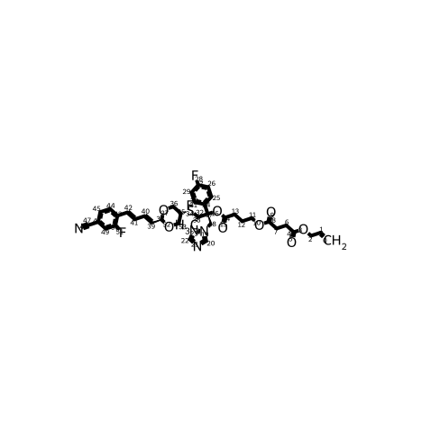 C=CCOC(=O)CCC(=O)OCCCC(=O)O[C@@](Cn1cncn1)(c1ccc(F)cc1F)[C@@H](C)S[C@H]1CO[C@H](C=CC=Cc2ccc(C#N)cc2F)OC1